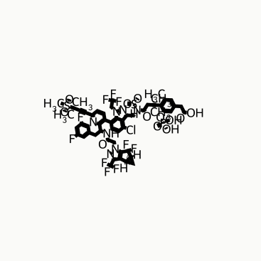 Cc1cc(CC(=O)O)cc(OP(=O)(O)O)c1C(C)(C)CC(=O)N(Cc1nn(CC(F)(F)F)c2c(-c3ccc(C#CC(C)(C)S(C)(=O)=O)nc3C(Cc3cc(F)cc(F)c3)NC(=O)Cn3nc(C(F)(F)F)c4c3C(F)(F)[C@@H]3C[C@H]43)ccc(Cl)c12)[SH](=O)=O